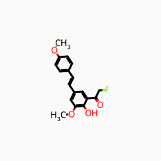 COc1ccc(/C=C/c2cc(OC)c(O)c(C(=O)CF)c2)cc1